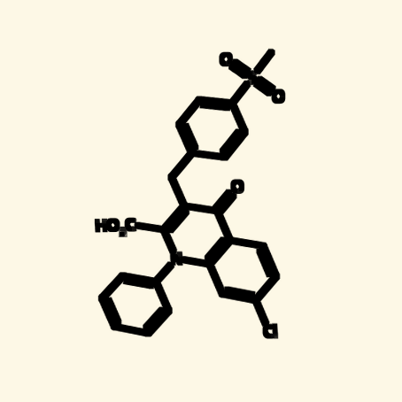 CS(=O)(=O)c1ccc(Cc2c(C(=O)O)n(-c3ccccc3)c3cc(Cl)ccc3c2=O)cc1